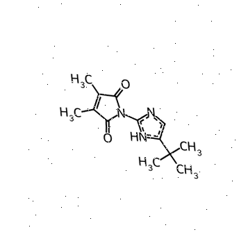 CC1=C(C)C(=O)N(c2ncc(C(C)(C)C)[nH]2)C1=O